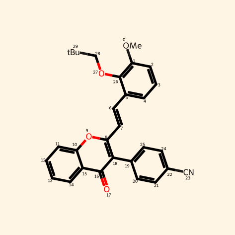 COc1cccc(/C=C/c2oc3ccccc3c(=O)c2-c2ccc(C#N)cc2)c1OCC(C)(C)C